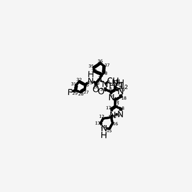 CN(C(=O)c1nc(-c2cnn(C3CCNCC3)c2)cnc1N)[C@@H](C(=O)Nc1ccc(F)cc1)c1ccccc1.Cl